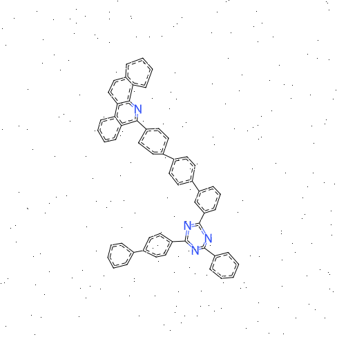 c1ccc(-c2ccc(-c3nc(-c4ccccc4)nc(-c4cccc(-c5ccc(-c6ccc(-c7nc8c9ccccc9ccc8c8ccccc78)cc6)cc5)c4)n3)cc2)cc1